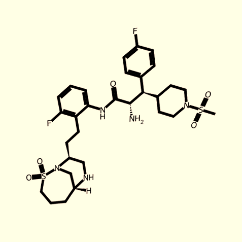 CS(=O)(=O)N1CCC([C@H](c2ccc(F)cc2)[C@H](N)C(=O)Nc2cccc(F)c2CC[C@H]2CN[C@@H]3CCCS(=O)(=O)N2C3)CC1